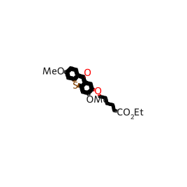 CCOC(=O)CCCCCOc1cc2c(=O)c3ccc(OC)cc3sc2cc1OC